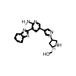 Nc1ncc(-c2cnn(C3CN[C@H](CO)C3)c2)cc1-c1nc2ccccc2s1